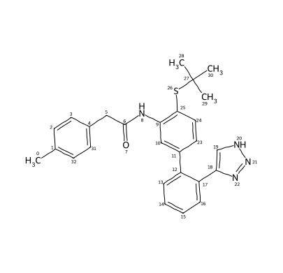 Cc1ccc(CC(=O)Nc2cc(-c3ccccc3-c3c[nH]nn3)ccc2SC(C)(C)C)cc1